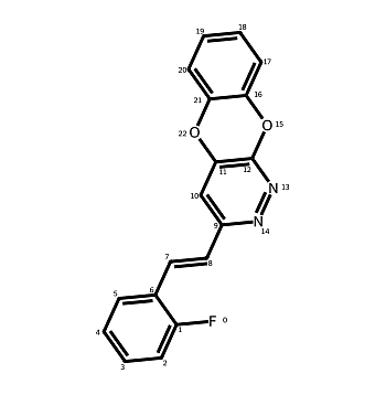 Fc1ccccc1C=Cc1cc2c(nn1)Oc1ccccc1O2